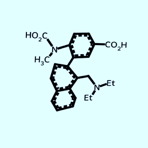 CCN(CC)Cc1c(-c2cc(C(=O)O)ccc2N(C)C(=O)O)ccc2ccccc12